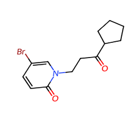 O=C(CCn1cc(Br)ccc1=O)C1CCCC1